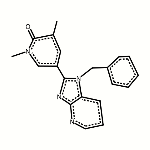 Cc1cc(-c2nc3ncccc3n2Cc2ccccc2)cn(C)c1=O